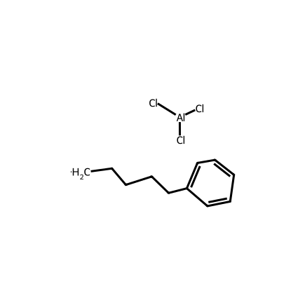 [CH2]CCCCc1ccccc1.[Cl][Al]([Cl])[Cl]